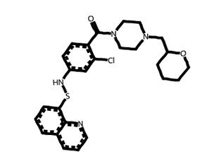 O=C(c1ccc(NSc2cccc3cccnc23)cc1Cl)N1CCN(CC2CCCCO2)CC1